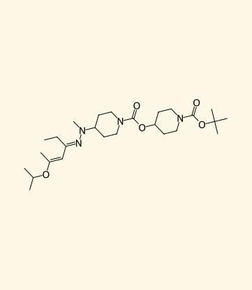 CCC(/C=C(\C)OC(C)C)=N\N(C)C1CCN(C(=O)OC2CCN(C(=O)OC(C)(C)C)CC2)CC1